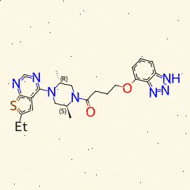 CCc1cc2c(N3C[C@H](C)N(C(=O)CCCOc4cccc5[nH]nnc45)C[C@H]3C)ncnc2s1